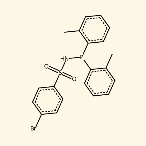 Cc1ccccc1P(NS(=O)(=O)c1ccc(Br)cc1)c1ccccc1C